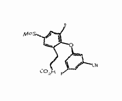 CSc1cc(F)c(Oc2cc(F)cc(C#N)c2)c(CCC(=O)O)c1